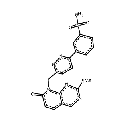 CSc1ncc2ccc(=O)n(Cc3ccc(-c4cccc(S(N)(=O)=O)c4)nn3)c2n1